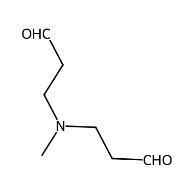 CN(CCC=O)CCC=O